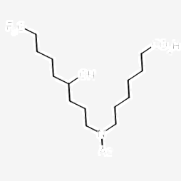 CC(=O)N(CCCCCCC(=O)O)CCCC(O)CCCCC(F)(F)F